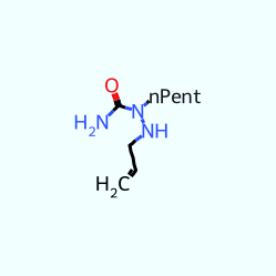 C=CCNN(CCCCC)C(N)=O